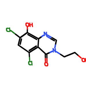 O=c1c2c(Cl)cc(Cl)c(O)c2ncn1CCO